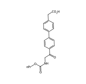 CCCOC(=O)NCC(=O)c1ccc(-c2ccc(CC(=O)O)cc2)cc1